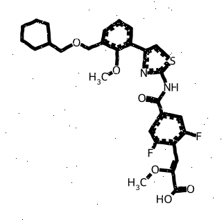 COC(=Cc1c(F)cc(C(=O)Nc2nc(-c3cccc(COCC4CCCCC4)c3OC)cs2)cc1F)C(=O)O